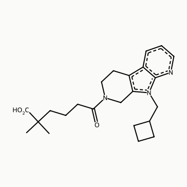 CC(C)(CCCC(=O)N1CCc2c(n(CC3CCC3)c3ncccc23)C1)C(=O)O